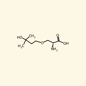 CC(C)(O)CCOC[C@H](N)C(=O)O